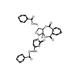 O=C(OC[C@H]1O[C@@H](n2ccc(NOC(=O)c3ccccc3)nc2=O)[C@H]2OC(=O)c3ccccc3C(=O)OC12)c1ccccc1